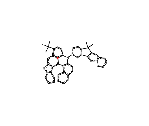 CC(C)(C)c1ccc(N(c2ccc3c(c2)-c2cc4ccccc4cc2C3(C)C)c2ccc3ccccc3c2-c2cccc3sc4ccccc4c23)cc1